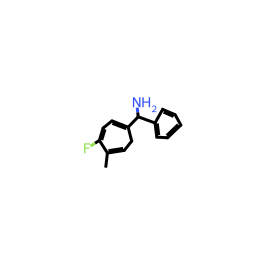 CC1=CCC(C(N)c2ccccc2)=CC=C1F